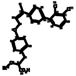 CCOC(Cc1ccc(OC/C=C(/C)c2ccc(-c3cccc(Cl)c3Cl)cc2)cc1)C(=O)O